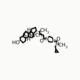 CC(CCC(=O)N1CCN(C(=O)N(C)CC2CC2)CC1)[C@H]1CC[C@H]2[C@@H]3CC=C4C[C@@H](O)CC[C@]4(C)[C@H]3CC[C@]12C